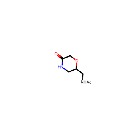 CC(=O)NCC1CNC(=O)CO1